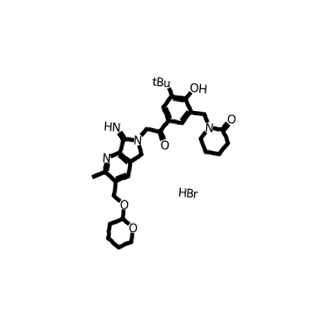 Br.Cc1nc2c(cc1COC1CCCCO1)CN(CC(=O)c1cc(CN3CCCCC3=O)c(O)c(C(C)(C)C)c1)C2=N